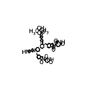 CC(C)(C)OC(=O)N1CC2(C1)CN([C@H]1CCCC[C@@H]1Cc1ccc3c(c1)CN(C1CCC(=O)NC1=O)C3=O)C2.O=C1CCC(N2Cc3cc(C[C@H]4CCCC[C@@H]4N4CC5(CNC5)C4)ccc3C2=O)C(=O)N1